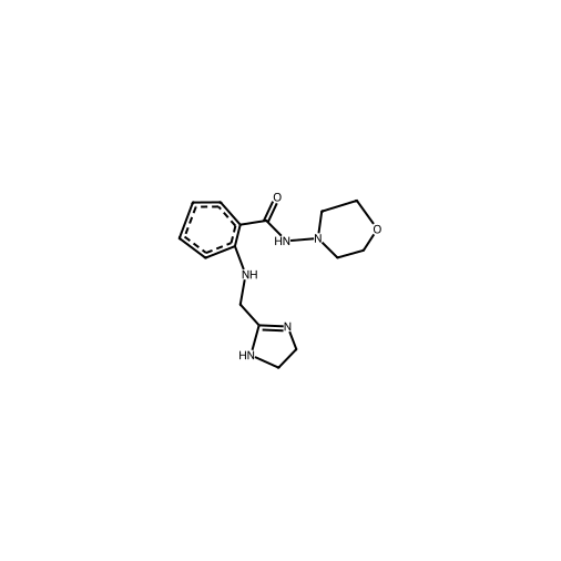 O=C(NN1CCOCC1)c1ccccc1NCC1=NCCN1